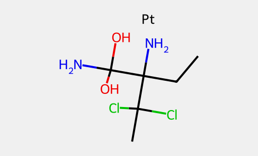 CCC(N)(C(N)(O)O)C(C)(Cl)Cl.[Pt]